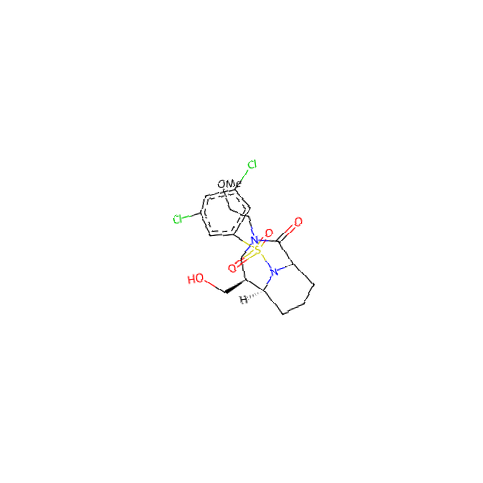 COCCN1C[C@H](CO)[C@@H]2CCCC(C1=O)N2S(=O)(=O)c1cc(Cl)cc(Cl)c1